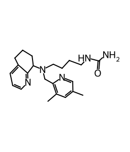 Cc1cnc(CN(CCCCNC(N)=O)C2CCCc3cccnc32)c(C)c1